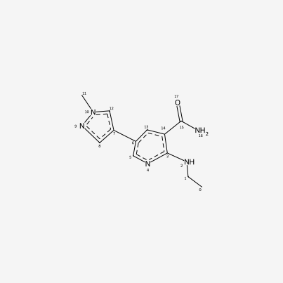 CCNc1ncc(-c2cnn(C)c2)cc1C(N)=O